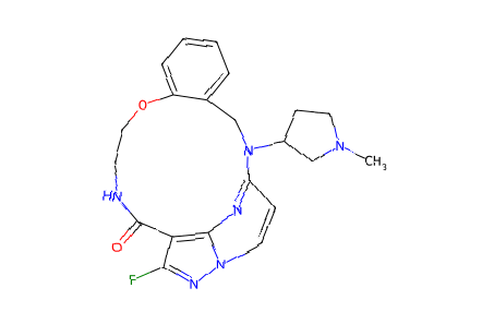 CN1CCC(N2Cc3ccccc3OCCNC(=O)c3c(F)nn4ccc2nc34)C1